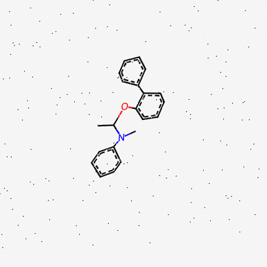 CC(Oc1ccccc1-c1ccccc1)N(C)c1ccccc1